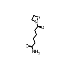 NC(=O)CCCCC(=O)N1CCO1